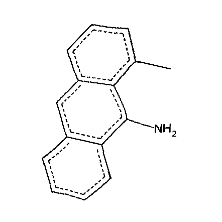 Cc1cccc2cc3ccccc3c(N)c12